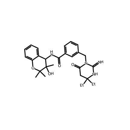 CCC1(CC)CC(=O)N(Cc2cccc(C(=O)NC3c4ccccc4OC(C)(C)C3(C)O)c2)C(=N)N1